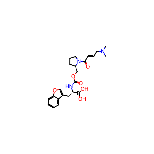 CN(C)C/C=C/C(=O)N1CCC[C@@H]1COC(=O)N[C@@H](Cc1coc2ccccc12)B(O)O